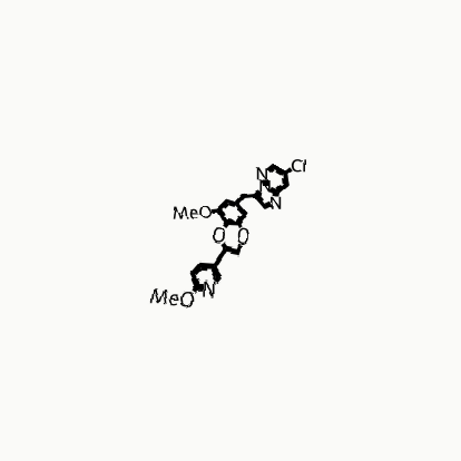 COc1ccc(C2COc3cc(Cc4cnc5cc(Cl)cnn45)cc(OC)c3O2)cn1